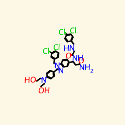 NC(=O)CC(NC(=O)CNCc1ccc(Cl)c(Cl)c1)c1ccc2c(c1)nc(-c1ccc(N(CCO)CCO)cc1)n2Cc1ccc(Cl)c(Cl)c1